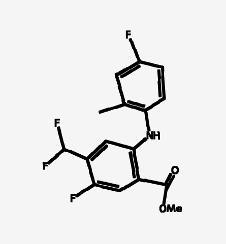 COC(=O)c1cc(F)c(C(F)F)cc1Nc1ccc(F)cc1C